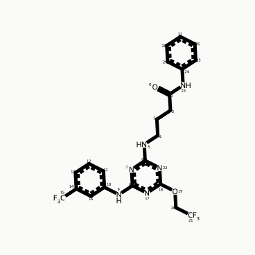 O=C(CCCNc1nc(Nc2cccc(C(F)(F)F)c2)nc(OCC(F)(F)F)n1)Nc1ccccc1